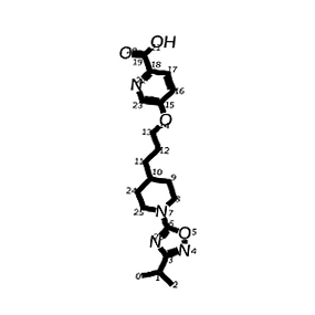 CC(C)c1noc(N2CCC(CCCOc3ccc(C(=O)O)nc3)CC2)n1